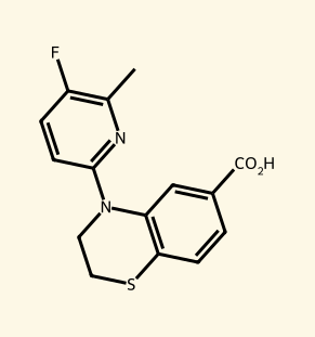 Cc1nc(N2CCSc3ccc(C(=O)O)cc32)ccc1F